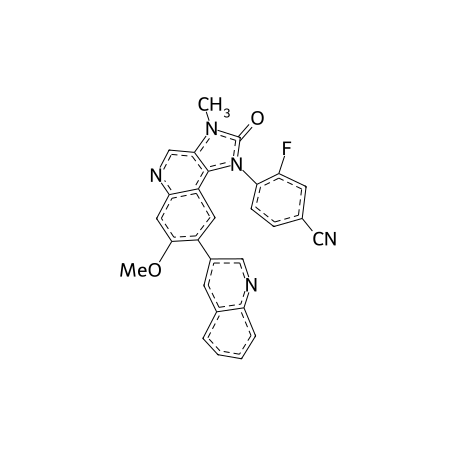 COc1cc2ncc3c(c2cc1-c1cnc2ccccc2c1)n(-c1ccc(C#N)cc1F)c(=O)n3C